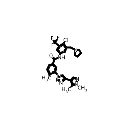 Cc1ccc(C(=O)Nc2cc(CN3CCCC3)c(Cl)c(C(F)(F)F)c2)cc1-n1cc(-c2cnn(C)c2C)nn1